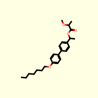 CCCCCCCOc1ccc(-c2ccc(C(C)OC(=O)C(C)OC)cc2)cc1